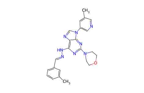 Cc1cccc(C=NNc2nc(N3CCOCC3)nc3c2ncn3-c2cncc(C)c2)c1